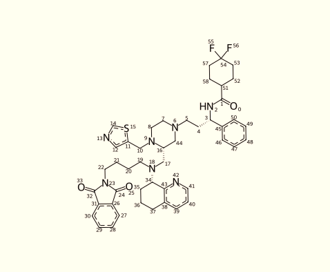 O=C(N[C@@H](CCN1CCN(Cc2cncs2)[C@@H](CN(CCCCN2C(=O)c3ccccc3C2=O)[C@H]2CCCc3cccnc32)C1)c1ccccc1)C1CCC(F)(F)CC1